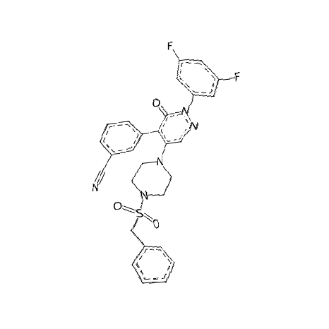 N#Cc1cccc(-c2c(N3CCN(S(=O)(=O)Cc4ccccc4)CC3)cnn(-c3cc(F)cc(F)c3)c2=O)c1